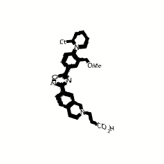 CCC1CCCCN1c1ccc(-c2nc(-c3ccc4c(c3)CN(CCC(=O)O)CC4)no2)cc1COC